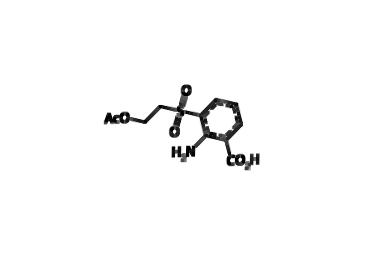 CC(=O)OCCS(=O)(=O)c1cccc(C(=O)O)c1N